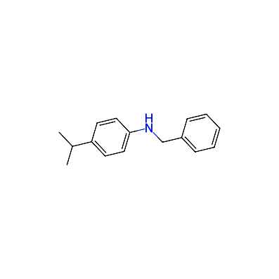 CC(C)c1ccc(NCc2ccccc2)cc1